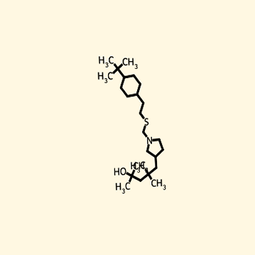 CC(C)(O)CC(C)(C)CC1CCN(CSCCC2CCC(C(C)(C)C)CC2)C1